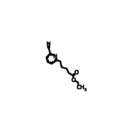 CCOC(=O)CCCCc1cccc(C#N)n1